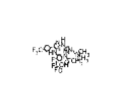 C=CC(=O)Nc1ccc(F)c(Nc2nc(Nc3cnn(CCN(C)C)c3)ncc2-c2ccc(C(F)(F)F)cc2)c1.O=C(O)C(F)(F)F